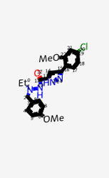 CCN(Cc1ccc(OC)cc1)NC(=O)c1cc(-c2ccc(Cl)cc2OC)n[nH]1